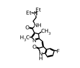 CCN(CC)CCNC(=O)C1=C(C)N=C(/C=C2\C(=O)Nc3ccc(F)cc32)C1C